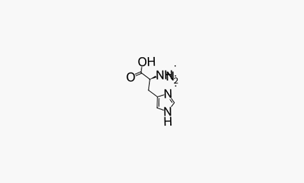 N[C@@H](Cc1c[nH]cn1)C(=O)O.[N]